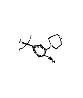 N#Cc1[c]cc(C(F)(F)F)cc1N1CCOCC1